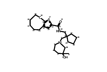 CC1(O)CCCN(CC2(CNC(=O)c3cc4c(s3)CCCCCC4)CCCC2)C1